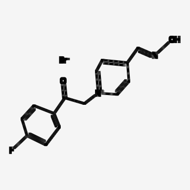 O=C(C[n+]1ccc(/C=N/O)cc1)c1ccc(F)cc1.[Br-]